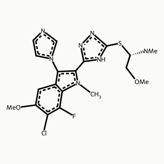 CN[C@H](COC)Sc1nnc(-c2c(-n3ccnc3)c3cc(OC)c(Cl)c(F)c3n2C)[nH]1